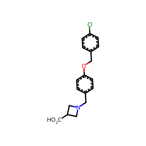 O=C(O)C1CN(Cc2ccc(OCc3ccc(Cl)cc3)cc2)C1